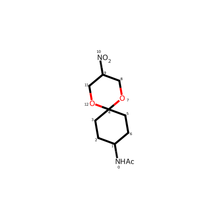 CC(=O)NC1CCC2(CC1)OCC([N+](=O)[O-])CO2